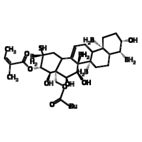 B[C@@H]1C2CC[C@]3(B)C(CC=C4C5C[C@@](B)(S)[C@@H](OC(=O)/C(C)=C\C)[C@H](O)[C@]5(COC(=O)C(C)CC)[C@H](O)[C@H](O)[C@]43B)[C@@]2(B)CC[C@@H]1O